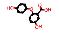 O=C(O)c1cc(O)ccc1Oc1ccc(O)cc1